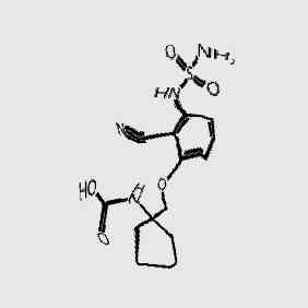 N#Cc1c(NS(N)(=O)=O)cccc1OCC1(NC(=O)O)CCCC1